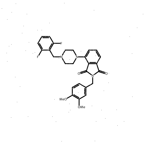 COc1ccc(CN2C(=O)c3cccc(N4CCN(Cc5c(F)cccc5F)CC4)c3C2=O)cc1OC